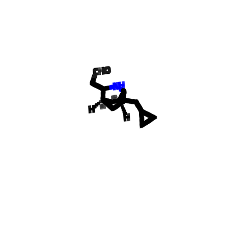 O=CCC1NC2CC[C@@H]1C[C@@H]2CC1CC1